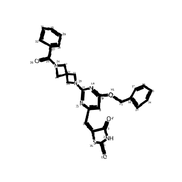 O=C1NC(=O)/C(=C\c2cc(OCc3ccccc3)nc(N3CC4(CN(C(=O)c5ccccc5)C4)C3)n2)S1